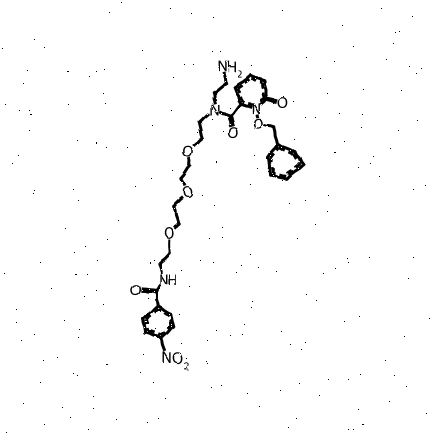 NCCN(CCOCCOCCOCCNC(=O)c1ccc([N+](=O)[O-])cc1)C(=O)c1cccc(=O)n1OCc1ccccc1